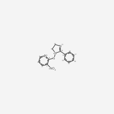 O=[N+]([O-])c1cccnc1SN1CCN=C1c1ccccc1